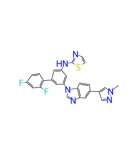 Cn1cc(-c2ccc3c(c2)ncn3-c2cc(Nc3nccs3)cc(-c3ccc(F)cc3F)c2)cn1